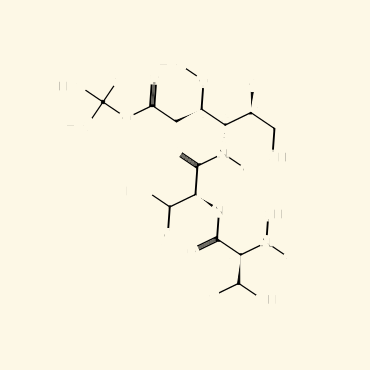 CC[C@H](C)[C@@H]([C@@H](CC(=O)OC(C)(C)C)OC)N(C)C(=O)[C@@H](NC(=O)[C@H](C(C)C)N(C)C)C(C)C